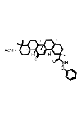 CC(=O)N[C@H]1CC[C@@]2(C)C(CC[C@]3(C)[C@@H]2C(=O)C=C2[C@@H]4C[C@@](C)(C(=O)NOc5ccccc5)CC[C@]4(C)CC[C@]23C)C1(C)C